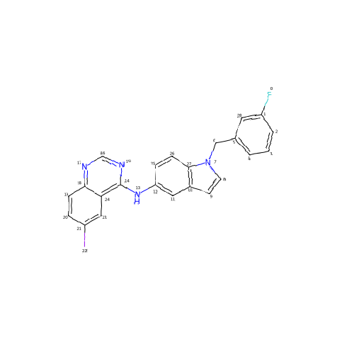 Fc1cccc(Cn2ccc3cc(Nc4ncnc5ccc(I)cc45)ccc32)c1